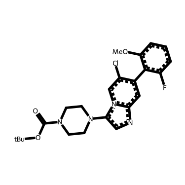 COc1cccc(F)c1-c1cc2ncc(N3CCN(C(=O)OC(C)(C)C)CC3)n2cc1Cl